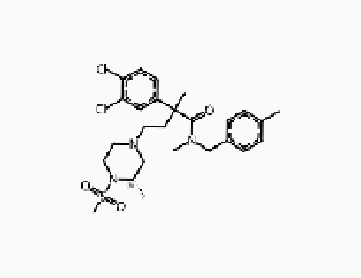 Cc1ccc(CN(C)C(=O)C(C)(CCN2CCN(S(C)(=O)=O)[C@@H](C)C2)c2ccc(Cl)c(Cl)c2)cc1